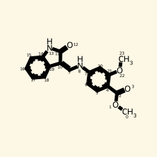 COC(=O)c1ccc(N/C=C2\C(=O)Nc3ccccc32)cc1OC